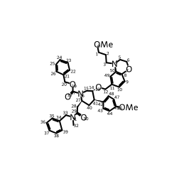 COCCCN1CCOc2ccc(CO[C@H]3CN(C(=O)OCc4ccccc4)[C@H](CC(=O)N(C)Cc4ccccc4)C[C@@H]3c3ccc(OC)cc3)cc21